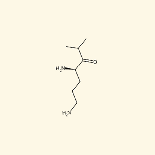 CC(C)C(=O)[C@H](N)CCCN